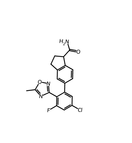 Cc1nc(-c2c(F)cc(Cl)cc2-c2ccc3c(c2)CCC3C(N)=O)no1